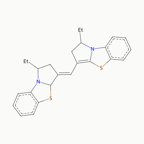 CCC1CC(C=C2CC(CC)N3c4ccccc4SC23)=C2Sc3ccccc3N21